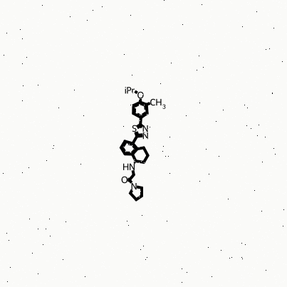 Cc1cc(-c2nnc(-c3cccc4c3CCC[C@H]4NCC(=O)N3CCCC3)s2)ccc1OC(C)C